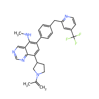 C=C(C)N1CCC(c2cc(-c3ccc(Cc4cc(C(F)(F)F)ccn4)cc3)c(NC)c3cncnc23)C1